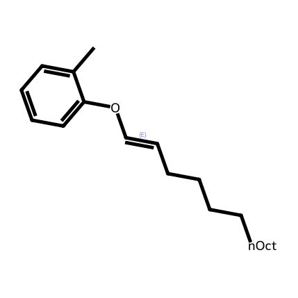 CCCCCCCCCCCC/C=C/Oc1ccccc1C